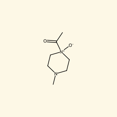 CC(=O)[N+]1([O-])CCN(C)CC1